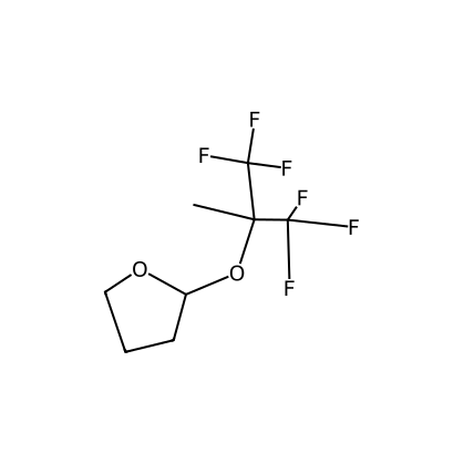 CC(OC1CCCO1)(C(F)(F)F)C(F)(F)F